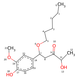 CCCCCCOC(CC(=O)C(C)O)c1ccc(O)c(OC)c1